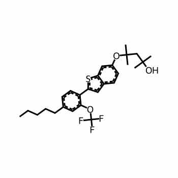 CCCCCc1ccc(-c2cc3ccc(OC(C)(C)CC(C)(C)O)cc3s2)c(OC(F)(F)F)c1